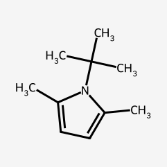 Cc1ccc(C)n1C(C)(C)C